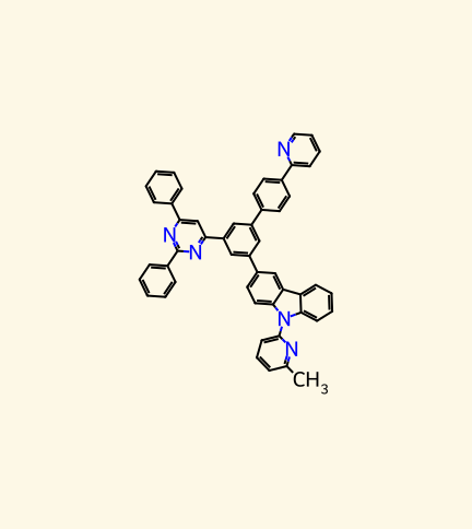 Cc1cccc(-n2c3ccccc3c3cc(-c4cc(-c5ccc(-c6ccccn6)cc5)cc(-c5cc(-c6ccccc6)nc(-c6ccccc6)n5)c4)ccc32)n1